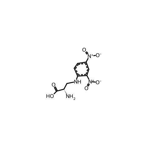 N[C@@H](CNc1ccc([N+](=O)[O-])cc1[N+](=O)[O-])C(=O)O